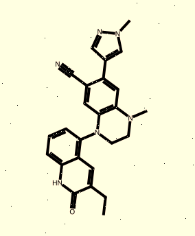 CCc1cc2c(N3CCN(C)c4cc(-c5cnn(C)c5)c(C#N)cc43)cccc2[nH]c1=O